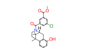 COC(=O)c1cc(Cl)cc(C(=O)N2CCC3(C)c4cccc(O)c4C[C@@H]2C3(C)C)c1